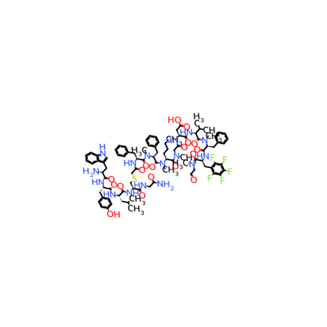 CCCC[C@@H](C(=O)N(C)CC(=O)N[C@@H](CC(=O)O)C(=O)N[C@H](C(=O)N(C)[C@@H](Cc1ccccc1)C(=O)N[C@@H](Cc1c(F)c(F)c(F)c(F)c1F)C(=O)N(C)CC=O)C(C)C)N(C)C(=O)[C@H](Cc1ccccc1)N(C)C(=O)[C@H](Cc1ccccc1)NC(=O)CSC[C@H](NC(=O)[C@H](CC(C)C)NC(=O)[C@H](Cc1ccc(O)cc1)NC(=O)[C@@H](N)Cc1c[nH]c2ccccc12)C(=O)NCC(N)=O